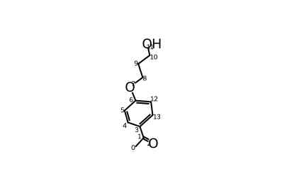 CC(=O)c1ccc(OCCCO)cc1